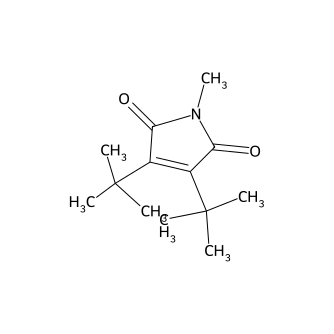 CN1C(=O)C(C(C)(C)C)=C(C(C)(C)C)C1=O